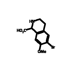 COc1cc2c(cc1Br)CCNC2C(=O)O